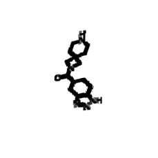 O=C(C1CCc2[nH]nnc2C1)N1CC2(CCNCC2)C1